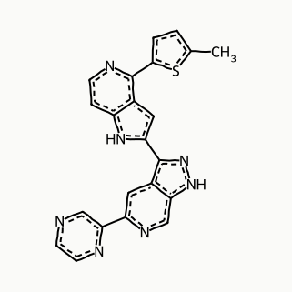 Cc1ccc(-c2nccc3[nH]c(-c4n[nH]c5cnc(-c6cnccn6)cc45)cc23)s1